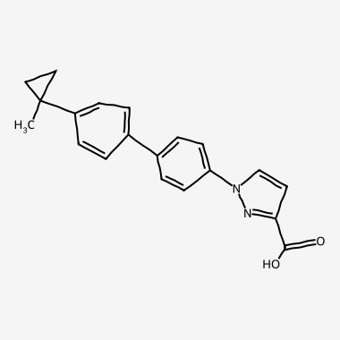 CC1(c2ccc(-c3ccc(-n4ccc(C(=O)O)n4)cc3)cc2)CC1